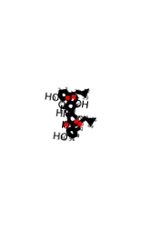 Oc1ccc2c3c1O[C@H]1c4[nH]c5c(c4C[C@@]4(O)C(C2)N(CC2CC2)CCC314)C[C@@]12O[C@@]13Cc1ccc(O)c4c1C2(CCN3CC1CC1)[C@H]5O4